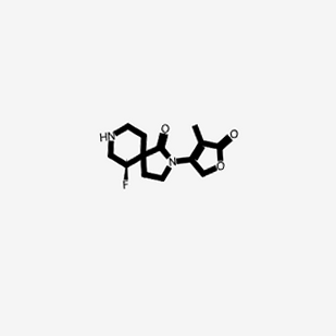 CC1=C(N2CCC3(CCNC[C@@H]3F)C2=O)COC1=O